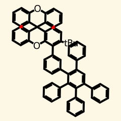 CC(C)(C)c1ccc2c(c1-c1cccc(-c3c(-c4ccccc4)cc(-c4ccccc4)c(-c4ccccc4)c3-c3ccccc3)c1)Oc1ccccc1C21c2ccccc2Oc2ccccc21